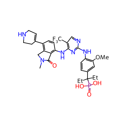 CCC(CC)(c1ccc(Nc2ncc(C(F)(F)F)c(Nc3ccc(C4=CCNCC4)c4c3C(=O)N(C)C4)n2)c(OC)c1)P(=O)(O)O